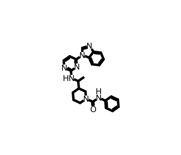 CC(Nc1nccc(-n2cnc3ccccc32)n1)C1CCCN(C(=O)Nc2ccccc2)C1